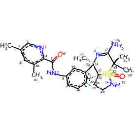 Cc1cnc(C(=O)Nc2ccc(F)c([C@@]3(C)N=C(N)C(C)(C)[SH]4(=O)NCC[C@@H]34)c2)c(C)c1